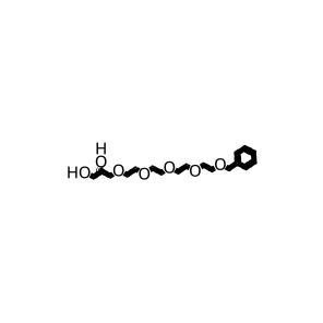 OC[C@H](O)COCCOCCOCCOCCOCc1ccccc1